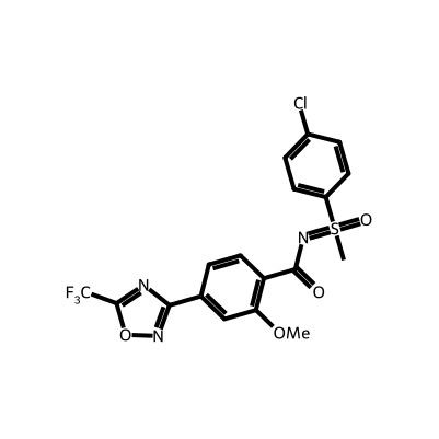 COc1cc(-c2noc(C(F)(F)F)n2)ccc1C(=O)N=S(C)(=O)c1ccc(Cl)cc1